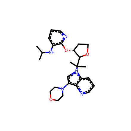 CC(C)Nc1cccnc1O[C@@H]1CCOC1C(C)(C)n1cc(N2CCOCC2)c2ncccc21